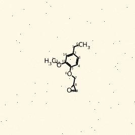 CCc1ccc(OCC2CO2)c(OC)c1